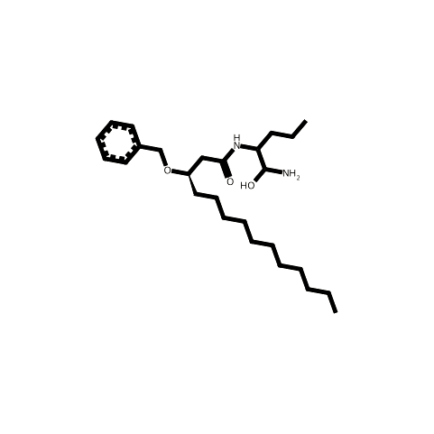 CCCCCCCCCCC[C@H](CC(=O)NC(CCC)C(N)O)OCc1ccccc1